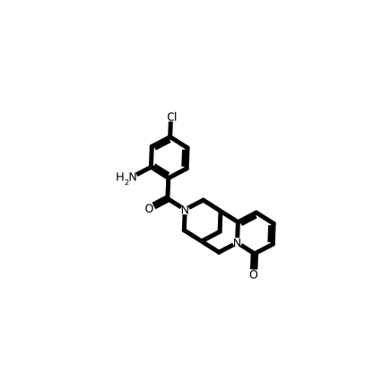 Nc1cc(Cl)ccc1C(=O)N1CC2CC(C1)c1cccc(=O)n1C2